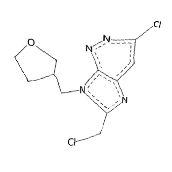 ClCc1nc2cc(Cl)nnc2n1CC1CCOC1